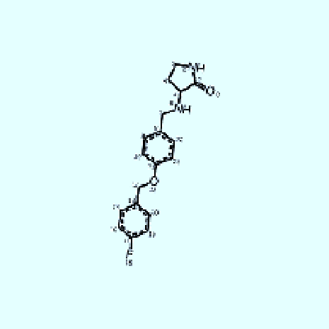 O=C1NCCC1NCc1ccc(OCc2ccc(F)cc2)cc1